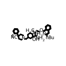 CCCCc1cc2ccccc2c(OCC[N+](C)(C)[C@H]2CCC(CN3CCC(C#N)(c4ccccc4F)CC3)C[C@@]2(O)C(N)=O)n1